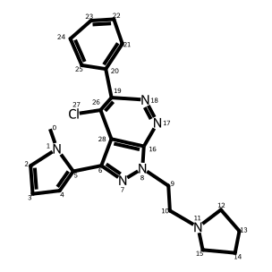 Cn1cccc1-c1nn(CCN2CCCC2)c2nnc(-c3ccccc3)c(Cl)c12